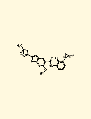 CC(C)Oc1nc2nn(C34COC(C)(C3)C4)cc2cc1C(=O)Nc1cccn([C@H]2C[C@H]2F)c1=O